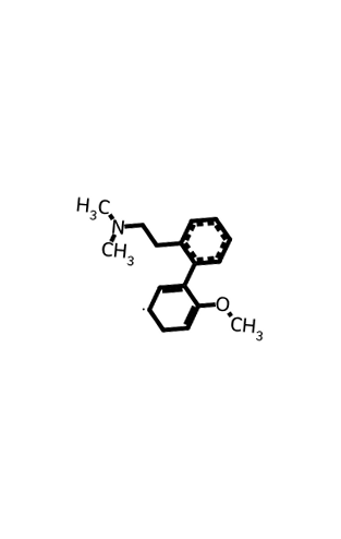 COC1=CC[CH]C=C1c1ccccc1CCN(C)C